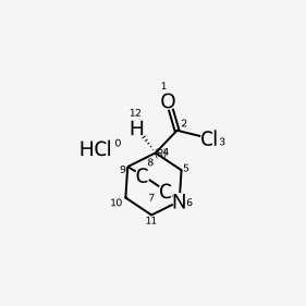 Cl.O=C(Cl)[C@H]1CN2CCC1CC2